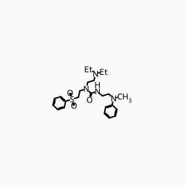 CCN(CC)CCN(CCS(=O)(=O)c1ccccc1)C(=O)NCCN(C)c1ccccc1